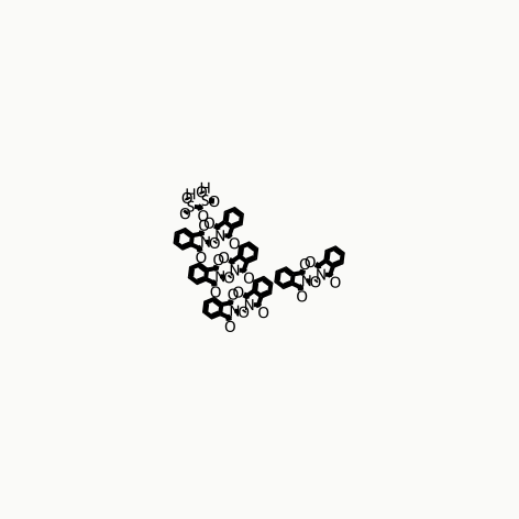 O=C([SH](=O)=O)[SH](=O)=O.O=C1c2ccccc2C(=O)N1ON1C(=O)c2ccccc2C1=O.O=C1c2ccccc2C(=O)N1ON1C(=O)c2ccccc2C1=O.O=C1c2ccccc2C(=O)N1ON1C(=O)c2ccccc2C1=O.O=C1c2ccccc2C(=O)N1ON1C(=O)c2ccccc2C1=O